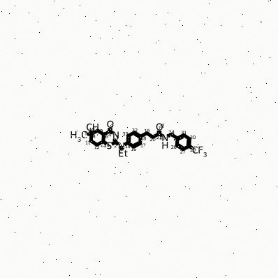 CCN(C1=NC(=O)C2CC(C)(C)CCC2S1)c1ccc(CCC(=O)NCc2ccc(C(F)(F)F)cc2)cc1